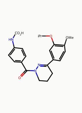 COc1ccc(C2=NN(C(=O)c3ccc(NC(=O)O)cc3)CCC2)cc1OC(C)C